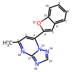 Cc1cc(-c2cc3ccccc3o2)n2ncnc2n1